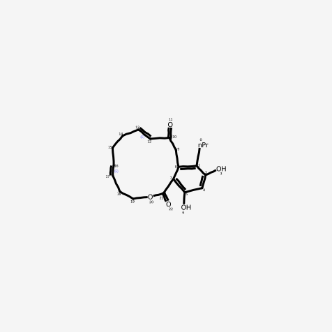 CCCc1c(O)cc(O)c2c1CC(=O)/C=C/CC/C=C/CCOC2=O